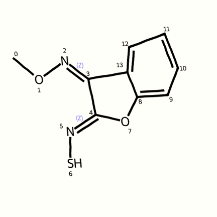 CO/N=C1\C(=N\S)Oc2ccccc21